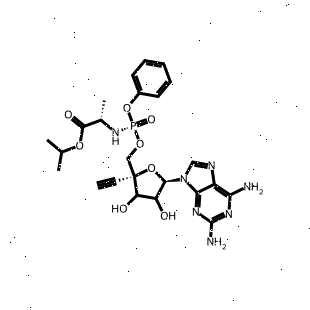 C#C[C@]1(CO[P@@](=O)(N[C@@H](C)C(=O)OC(C)C)Oc2ccccc2)O[C@@H](n2cnc3c(N)nc(N)nc32)C(O)C1O